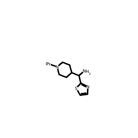 CC(C)N1CCC(C(N)c2nccs2)CC1